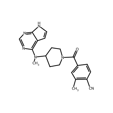 Cc1cc(C(=O)N2CCC(N(C)c3ncnc4[nH]ccc34)CC2)ccc1C#N